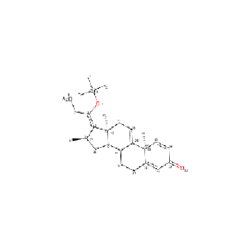 CC(=O)OCC(O[Si](C)(C)C)=C1[C@H](C)CC2C3CCC4=CC(=O)C=C[C@]4(C)C3=CC[C@]12C